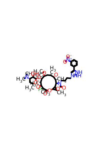 CO[C@@]1(C)C[C@@H](C)C(=O)[C@H](C)C2N(CCCCN3C=C(c4cccc([N+](=O)[O-])c4)NN3)C(=O)O[C@@]23C(C)C3OC(=O)[C@@](C)(F)C(=O)[C@H](C)[C@H]1OC1O[C@H](C)C[C@H](N(C)C)[C@H]1O